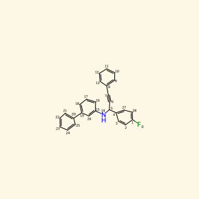 Fc1ccc(C(C#Cc2ccccc2)Nc2cccc(-c3ccccc3)c2)cc1